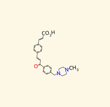 CN1CCN(Cc2ccc(C(=O)C=Cc3ccc(C=CC(=O)O)cc3)cc2)CC1